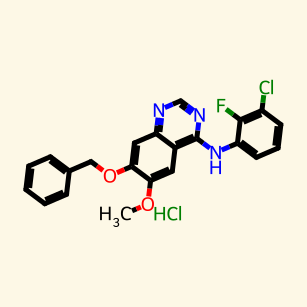 COc1cc2c(Nc3cccc(Cl)c3F)ncnc2cc1OCc1ccccc1.Cl